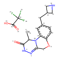 CC1C(=O)NN=C2COc3ccc(CC4CNC4)cc3N21.O=C(O)C(F)(F)F